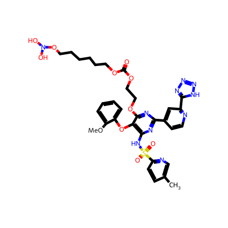 COc1ccccc1Oc1c(NS(=O)(=O)c2ccc(C)cn2)nc(-c2ccnc(-c3nnn[nH]3)c2)nc1OCCOC(=O)OCCCCCCON(O)O